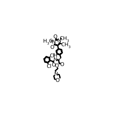 Cc1c(-c2ccc(C[C@H](NC(=O)c3c(Cl)cccc3Cl)C(=O)OCCN3CCOCC3)cc2)c(=O)n(C)c(=O)n1C